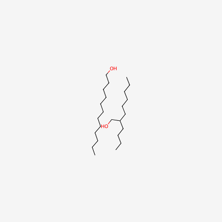 CCCCCCC(CO)CCCC.CCCCCCCCCCCCO